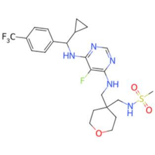 CS(=O)(=O)NCC1(CNc2ncnc(NC(c3ccc(C(F)(F)F)cc3)C3CC3)c2F)CCOCC1